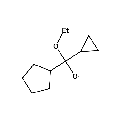 CCOC([O])(C1CCCC1)C1CC1